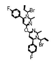 C=CC(Br)N1C(c2ccc(F)cc2)=CC(OC2=NC(C)N(C(Br)C=C)C(c3ccc(F)cc3)=C2)=NC1C